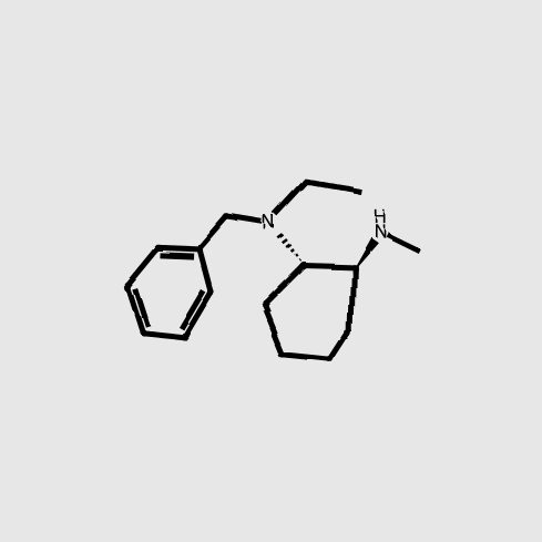 CCN(Cc1ccccc1)[C@H]1CCCC[C@@H]1NC